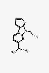 CCn1c2ccccc2c2ccc(C(C)C)cc21